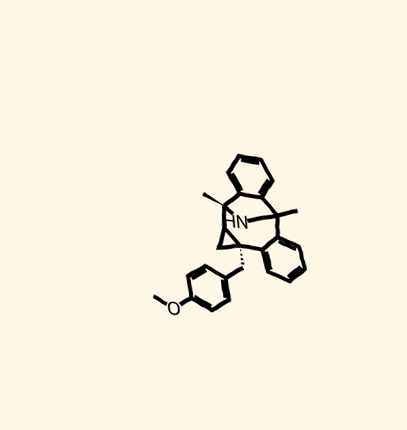 COc1ccc(C[C@]23CC2[C@@]2(C)NC(C)(c4ccccc43)c3ccccc32)cc1